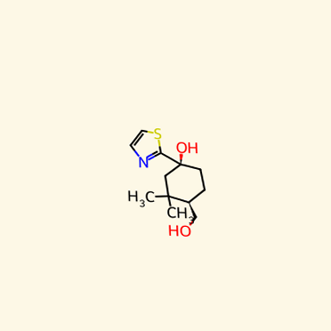 CC1(C)C[C@](O)(c2nccs2)CC[C@H]1CO